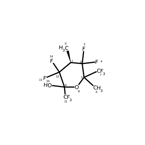 C[C@H]1C(F)(F)C(C)(C(F)(F)F)OC(O)(C(F)(F)F)C1(F)F